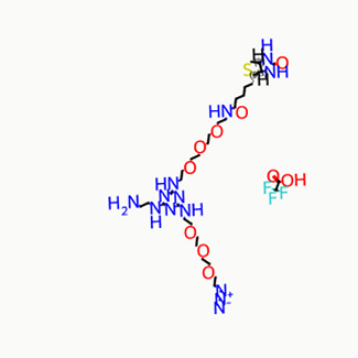 O=C(O)C(F)(F)F.[N-]=[N+]=NCCOCCOCCOCCNc1nc(NCCN)nc(NCCOCCOCCOCCNC(=O)CCCC[C@@H]2SC[C@@H]3NC(=O)N[C@@H]32)n1